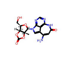 C[C@@]12OC(=O)O[C@@H]1[C@@H](CO)O[C@H]2n1cc2c3c(ncnc31)NC(=O)C=C2N